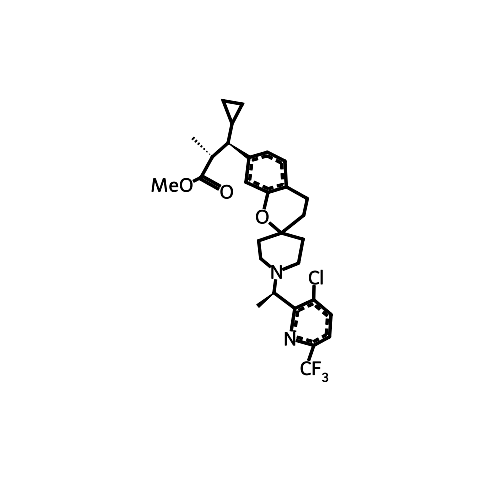 COC(=O)[C@H](C)[C@H](c1ccc2c(c1)OC1(CC2)CCN([C@H](C)c2nc(C(F)(F)F)ccc2Cl)CC1)C1CC1